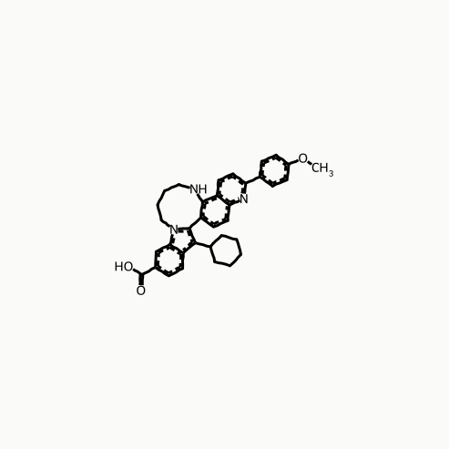 COc1ccc(-c2ccc3c4c(ccc3n2)-c2c(C3CCCCC3)c3ccc(C(=O)O)cc3n2CCCCN4)cc1